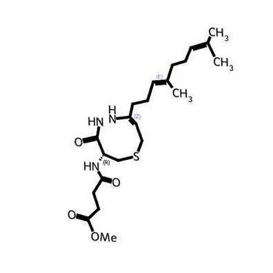 COC(=O)CCC(=O)N[C@H]1CSC/C=C(/CC/C=C(\C)CCC=C(C)C)NNC1=O